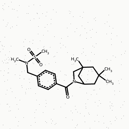 CN(Cc1ccc(C(=O)N2CC3(C)CC2CC(C)(C)C3)cc1)S(C)(=O)=O